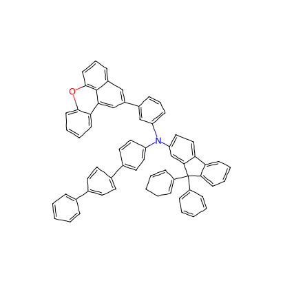 C1=CC(C2(c3ccccc3)c3ccccc3-c3ccc(N(c4ccc(-c5ccc(-c6ccccc6)cc5)cc4)c4cccc(-c5cc6c7c(cccc7c5)Oc5ccccc5-6)c4)cc32)=CCC1